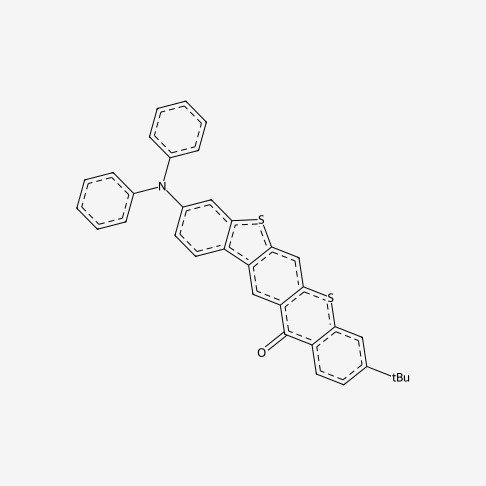 CC(C)(C)c1ccc2c(=O)c3cc4c(cc3sc2c1)sc1cc(N(c2ccccc2)c2ccccc2)ccc14